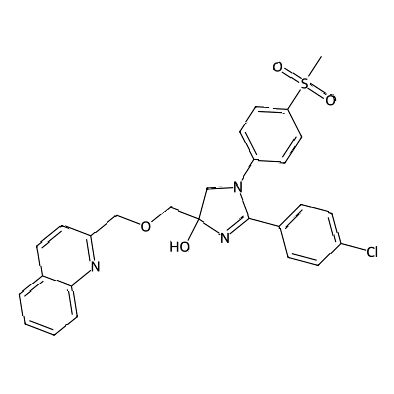 CS(=O)(=O)c1ccc(N2CC(O)(COCc3ccc4ccccc4n3)N=C2c2ccc(Cl)cc2)cc1